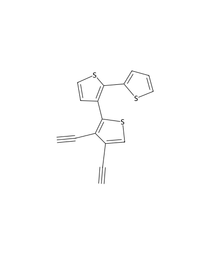 C#Cc1csc(-c2ccsc2-c2cccs2)c1C#C